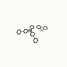 CC1(C)c2ccccc2-c2ccc(-c3cccc(N(c4ccc(-c5ccccc5)cc4)c4ccc(-c5ccccc5)cc4)c3)cc21